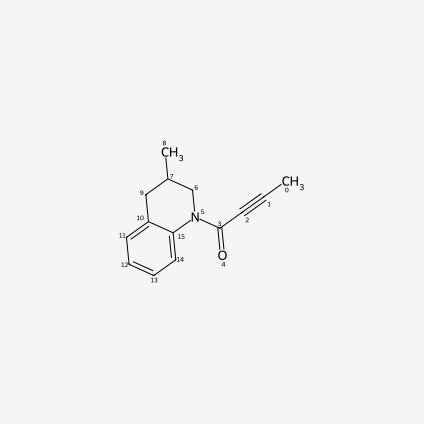 CC#CC(=O)N1CC(C)Cc2ccccc21